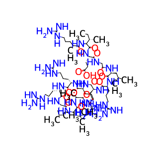 CC[C@H](C)[C@H](NC(=O)[C@@H](C)CCCNC(=N)N)C(=O)N[C@@H](CCC(=O)O)C(=O)NCC(=O)N[C@@H](CC(C)C)C(=O)N[C@@H](CCCNC(=N)N)C(=O)N[C@@H](CCCCN)C(=O)N[C@@H](CCCNC(=N)N)C(=O)N[C@@H](CCCNC(=N)N)C(=O)N[C@@H](CCCNC(=N)N)C(=O)N[C@@H](CC(C)C)C(=O)N[C@@H](CC(C)C)C(=O)N[C@@H](C)C(N)=O